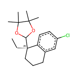 CC[C@@]1(C2OC(C)(C)C(C)(C)O2)CCCc2cc(Cl)ccc21